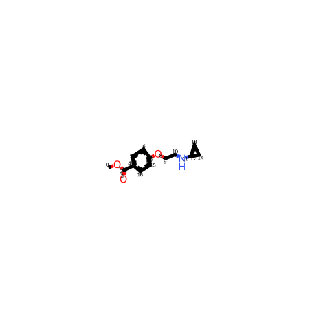 COC(=O)c1ccc(OCCNC2CC2)cc1